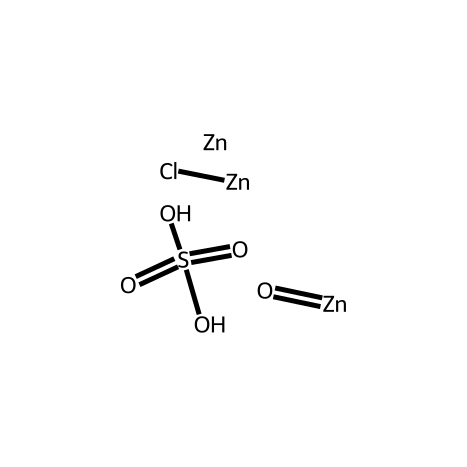 O=S(=O)(O)O.[Cl][Zn].[O]=[Zn].[Zn]